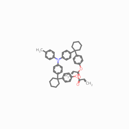 C=CC(=O)Oc1ccc(C2(c3ccc(N(c4ccc(C)cc4)c4ccc(C5(c6ccc(OC(=O)C=C)cc6)CCCCC5)cc4)cc3)CCCCC2)cc1